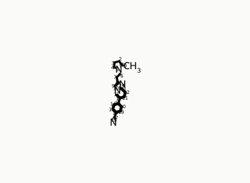 C[C@@H]1CCCN1CCc1cn2cc(-c3ccc(C#N)cc3)ccc2n1